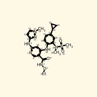 CCONC(=O)c1cnc(Nc2ccn(C)n2)cc1Nc1ccc(C2CC2)cc1N(C)S(C)(=O)=O